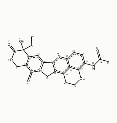 CCC1(O)C(=O)OCc2c1cc1n(c2=O)Cc2c-1nc1ccc(NC(C)=O)c3c1c2CCO3